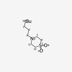 CC(C)(C)CCCN1CCS(=O)(=O)CC1